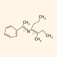 CCCC(/N=C(\C)c1ccccc1)=C(/C)CC